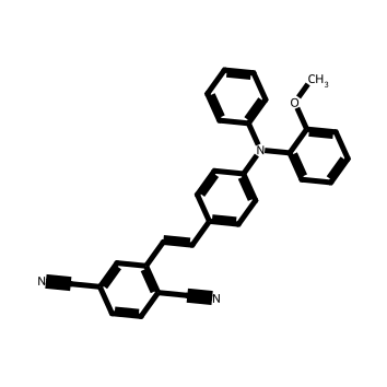 COc1ccccc1N(c1ccccc1)c1ccc(/C=C/c2cc(C#N)ccc2C#N)cc1